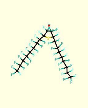 FC(F)(F)C(F)(F)C(F)(F)C(F)(F)C(F)(F)C(F)(F)C(F)(F)C(F)(F)C(F)(SC(F)(C(F)(F)F)C(F)(F)C(F)(F)C(F)(F)C(F)(F)C(F)(F)C(F)(F)C(F)(F)C(F)(F)F)C(F)(F)F